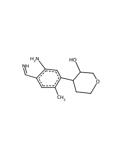 Cc1cc(C=N)c(N)cc1C1CCOCC1O